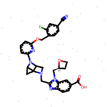 N#Cc1ccc(COc2cccc(N3C4CN(Cc5nc6ccc(C(=O)O)cc6n5C[C@@H]5CCO5)C45CC35)n2)c(F)c1